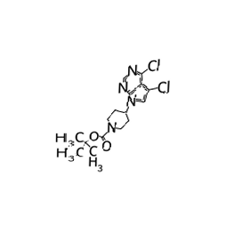 CC(C)(C)OC(=O)N1CCC(n2cc(Cl)c3c(Cl)ncnc32)CC1